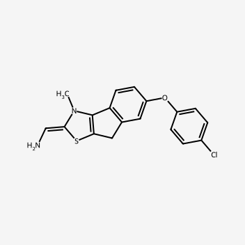 CN1C2=C(Cc3cc(Oc4ccc(Cl)cc4)ccc32)S/C1=C\N